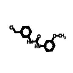 COc1cccc(NC(=O)Nc2cccc(CCl)c2)c1